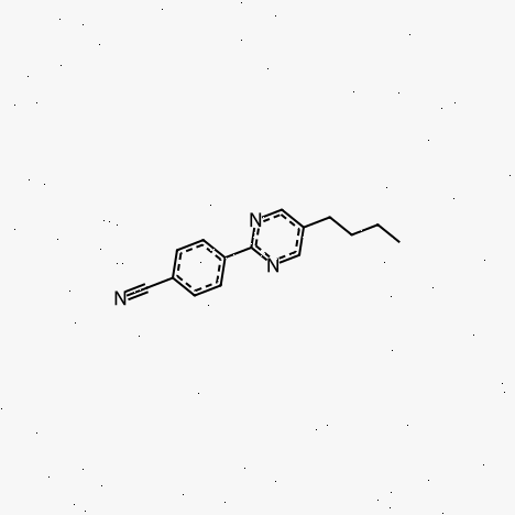 CCCCc1cnc(-c2ccc(C#N)cc2)nc1